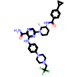 C[C@@H]1[C@H](NC(=O)c2ccc(C3CC3)cc2)CCCN1c1cnc(C(N)=O)c(Nc2ccc(N3CCN(CC(F)(F)F)CC3)cc2)n1